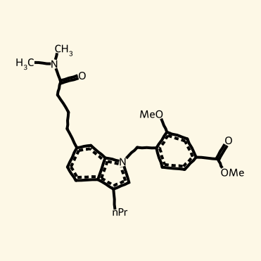 CCCc1cn(Cc2ccc(C(=O)OC)cc2OC)c2cc(CCCC(=O)N(C)C)ccc12